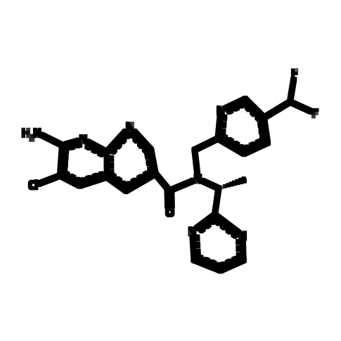 C[C@H](c1ncccn1)N(Cc1ccc(C(F)F)cn1)C(=O)c1cnc2nc(N)c(Cl)cc2c1